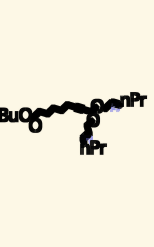 CCC/C=C/COC(C#CCCCCCC(=O)OCC(C)C)OC/C=C/CCC